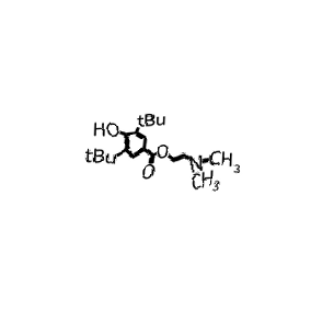 CN(C)CCOC(=O)c1cc(C(C)(C)C)c(O)c(C(C)(C)C)c1